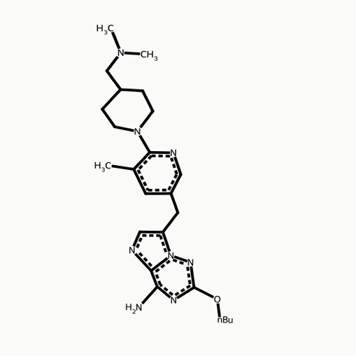 CCCCOc1nc(N)c2ncc(Cc3cnc(N4CCC(CN(C)C)CC4)c(C)c3)n2n1